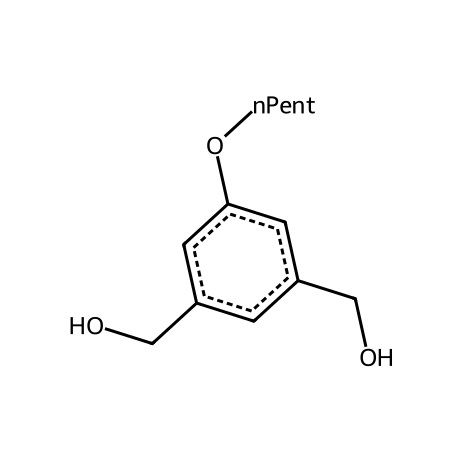 CCCCCOc1cc(CO)cc(CO)c1